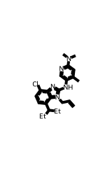 C=CCn1c(Nc2cnc(N(C)C)cc2C)nc2c(Cl)ccc(C(CC)CC)c21